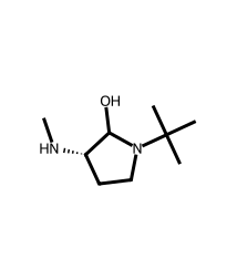 CN[C@H]1CCN(C(C)(C)C)C1O